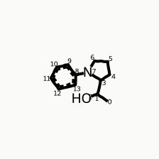 CC(O)C1CCCN1c1ccccc1